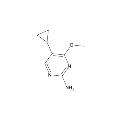 COc1nc(N)ncc1C1CC1